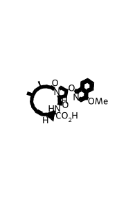 COc1cnc(O[C@@H]2C[C@H]3C(=O)N[C@]4(C(=O)O)C[C@H]4/C=C\CCC(C)C[C@@H](C)CC(=O)N3C2)c2ccccc12